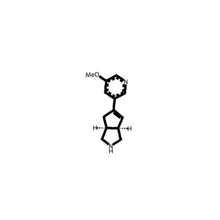 COc1cncc(C2=C[C@H]3CNC[C@H]3C2)c1